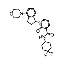 O=C(NC1CCC(F)(F)CC1)c1cccn(C2CCc3c2cccc3N2CCOCC2)c1=O